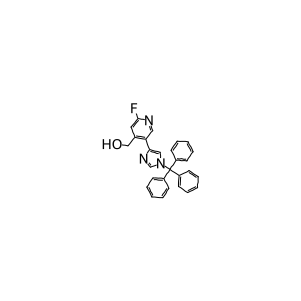 OCc1cc(F)ncc1-c1cn(C(c2ccccc2)(c2ccccc2)c2ccccc2)cn1